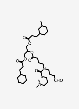 CC1CCCC(CCC(=O)OCC(COC(=O)CCC2CCCCC2)OC(=O)CCCN(CCCC=O)C(=O)SCCCN(C)C)C1